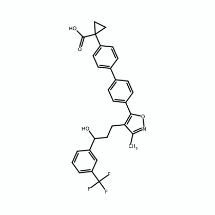 Cc1noc(-c2ccc(-c3ccc(C4(C(=O)O)CC4)cc3)cc2)c1CCC(O)c1cccc(C(F)(F)F)c1